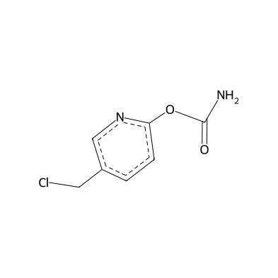 NC(=O)Oc1ccc(CCl)cn1